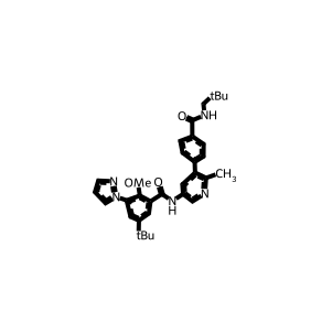 COc1c(C(=O)Nc2cnc(C)c(-c3ccc(C(=O)NCC(C)(C)C)cc3)c2)cc(C(C)(C)C)cc1-n1cccn1